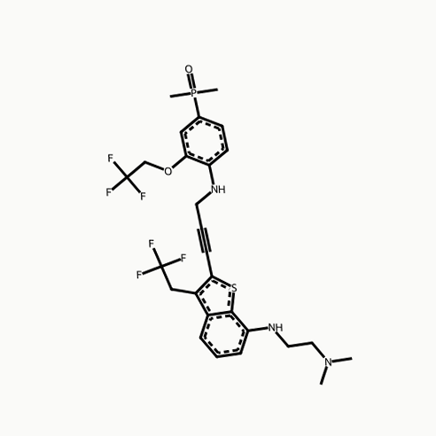 CN(C)CCNc1cccc2c(CC(F)(F)F)c(C#CCNc3ccc(P(C)(C)=O)cc3OCC(F)(F)F)sc12